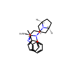 CC(=O)N[C@@H](CCN1[C@@H]2CC[C@H]1C[C@@H](n1c(C)nc3ccccc31)C2)c1ccccc1